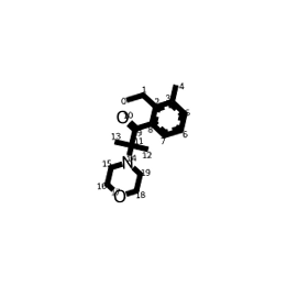 CCc1c(C)cccc1C(=O)C(C)(C)N1CCOCC1